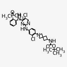 CC(C)(C)OC(=O)NC1CC2(C1)CN(c1ccc(Nc3ncc(Cl)c(Nc4ccccc4P(C)(C)=O)n3)cc1Cl)C2